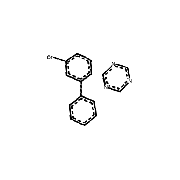 Brc1cccc(-c2ccccc2)c1.c1ncncn1